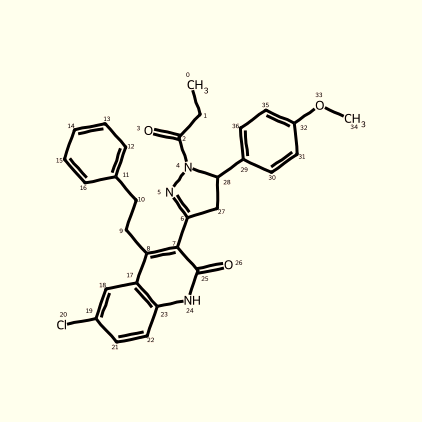 CCC(=O)N1N=C(c2c(CCc3ccccc3)c3cc(Cl)ccc3[nH]c2=O)CC1c1ccc(OC)cc1